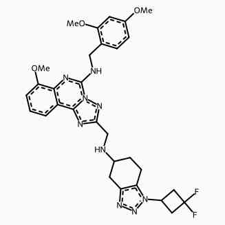 COc1ccc(CNc2nc3c(OC)cccc3c3nc(CNC4CCc5c(nnn5C5CC(F)(F)C5)C4)nn23)c(OC)c1